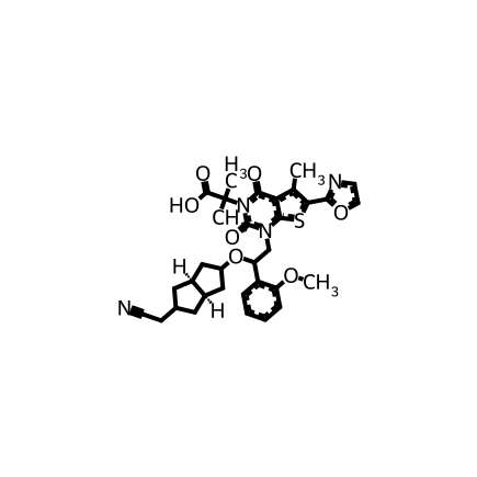 COc1ccccc1C(Cn1c(=O)n(C(C)(C)C(=O)O)c(=O)c2c(C)c(-c3ncco3)sc21)OC1C[C@H]2CC(CC#N)C[C@H]2C1